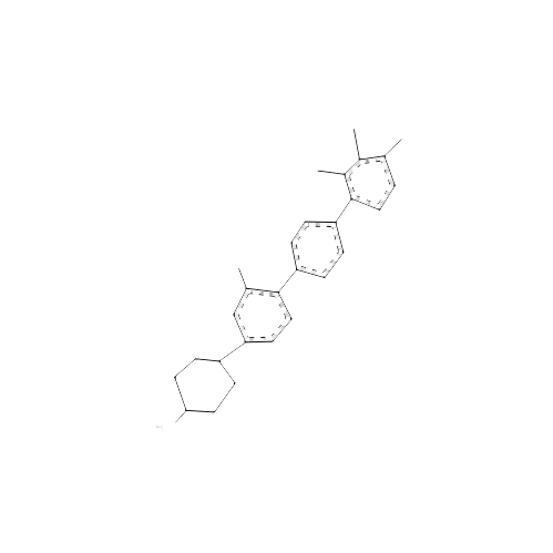 CCCCCCCC1CCC(c2ccc(-c3ccc(-c4ccc(CC)c(F)c4F)cc3)c(F)c2)CC1